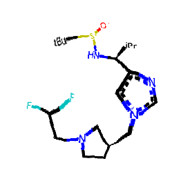 CC(C)[C@H](N[S+]([O-])C(C)(C)C)c1cn(C[C@H]2CCN(CC(F)F)C2)cn1